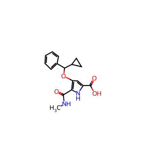 CNC(=O)c1[nH]c(C(=O)O)cc1OC(c1ccccc1)C1CC1